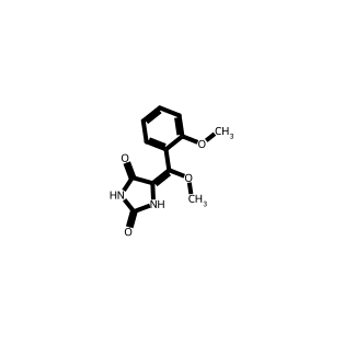 COC(=C1NC(=O)NC1=O)c1ccccc1OC